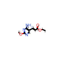 CCOC(=O)/C=C/c1cnc(OC)nc1N